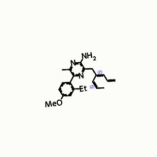 C=C/C=C(\C=C/C)Cc1nc(-c2ccc(OC)cc2CC)c(C)nc1N